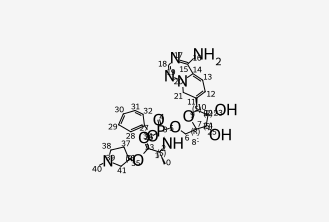 C[C@H](NP(=O)(OC[C@@]1(C)O[C@@H](C2=CC=C3C(N)=NC=NN3C2)[C@H](O)[C@@H]1O)Oc1ccccc1)C(=O)O[C@@H]1CCN(C)C1